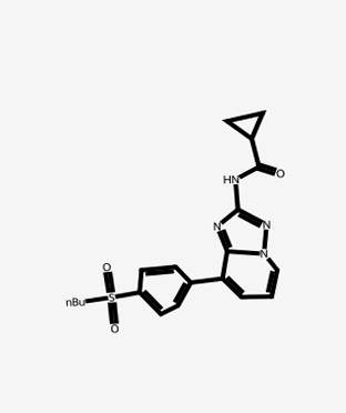 CCCCS(=O)(=O)c1ccc(-c2cccn3nc(NC(=O)C4CC4)nc23)cc1